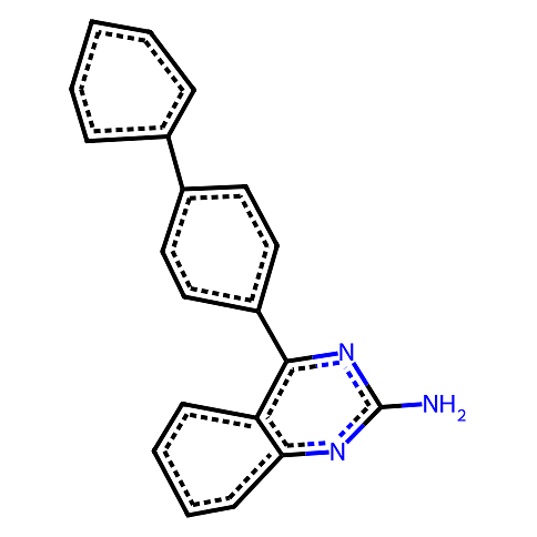 Nc1nc(-c2ccc(-c3ccccc3)cc2)c2ccccc2n1